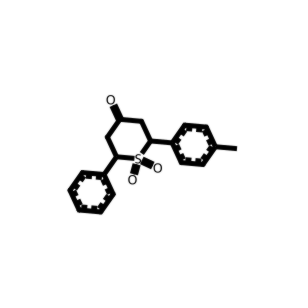 Cc1ccc(C2CC(=O)CC(c3ccccc3)S2(=O)=O)cc1